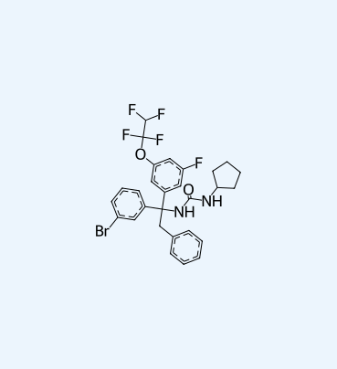 O=C(NC1CCCC1)NC(Cc1ccccc1)(c1cccc(Br)c1)c1cc(F)cc(OC(F)(F)C(F)F)c1